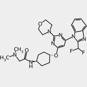 CN(C)CC(=O)N[C@H]1CC[C@H](Oc2cc(-n3c(C(F)F)nc4ccccc43)nc(N3CCOCC3)n2)CC1